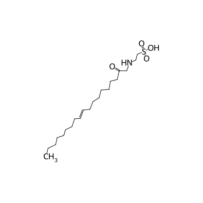 CCCCCCCCC=CCCCCCCCC(=O)CNCCS(=O)(=O)O